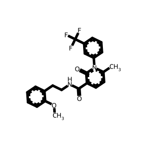 COc1ccccc1CCNC(=O)c1ccc(C)n(-c2cccc(C(F)(F)F)c2)c1=O